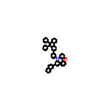 c1ccc(-c2c(-c3ccccc3)c3cc(-c4cccc(N(c5cccc(-c6ccc7ccccc7c6)c5)c5cccc6oc7ccccc7c56)c4)ccc3c3ccccc23)cc1